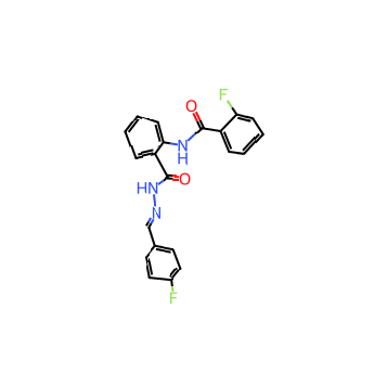 O=C(Nc1ccccc1C(=O)NN=Cc1ccc(F)cc1)c1ccccc1F